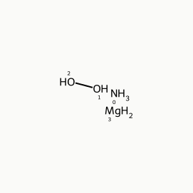 N.OO.[MgH2]